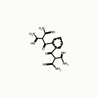 N=C(N)C(C(=N)N)C(=O)c1ccccc1C(=O)C(C(=N)N)C(=N)N